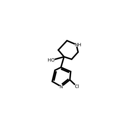 OC1(c2ccnc(Cl)c2)CCNCC1